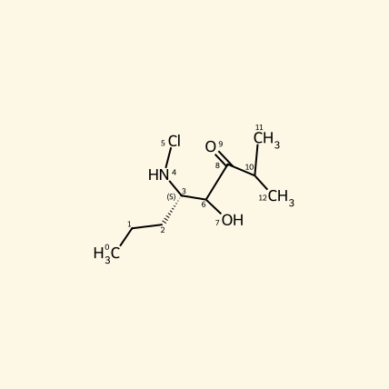 CCC[C@H](NCl)C(O)C(=O)C(C)C